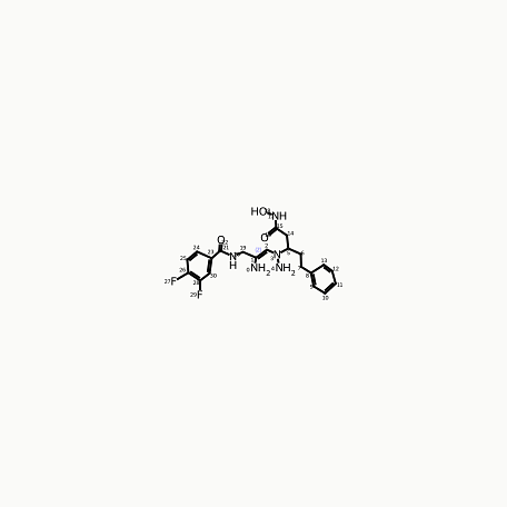 N/C(=C\N(N)C(CCc1ccccc1)CC(=O)NO)CNC(=O)c1ccc(F)c(F)c1